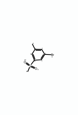 Cc1cc(Br)cc(S(C)(=O)=O)c1